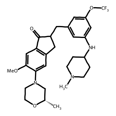 COc1cc2c(cc1N1CCO[C@@H](C)C1)CC(Cc1cc(NC3CCN(C)CC3)cc(OC(F)(F)F)c1)C2=O